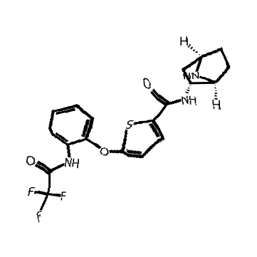 O=C(N[C@@H]1C[C@H]2CC[C@@H]1N2)c1ccc(Oc2ccccc2NC(=O)C(F)(F)F)s1